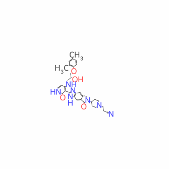 Cc1ccc(OCC(O)CNc2cc[nH]c(=O)c2-c2nc3cc4c(cc3[nH]2)C(=O)N(C2CCN(CCC#N)CC2)C4)c(C)c1